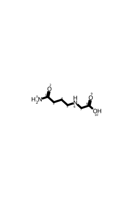 NC(=O)CCCNCC(=O)O